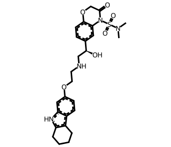 CN(C)S(=O)(=O)N1C(=O)COc2ccc([C@@H](O)CNCCOc3ccc4c5c([nH]c4c3)CCCC5)cc21